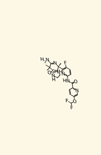 CC1(C)C(N)=N[C@](C)(c2nc(NC(=O)c3ccc(OC(F)F)cn3)ccc2F)[C@H]2CCN[SH]21=O